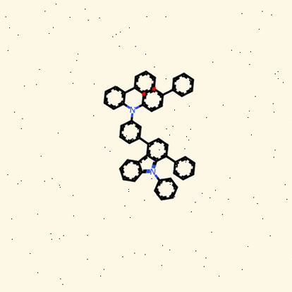 c1ccc(-c2ccc(N(c3cccc(-c4ccc(-c5ccccc5)c5c4c4ccccc4n5-c4ccccc4)c3)c3ccccc3-c3ccccc3)cc2)cc1